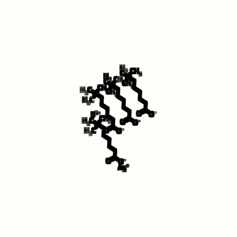 CC(C)(C)CCCCCC(=O)[O-].CC(C)(C)CCCCCC(=O)[O-].CC(C)(C)CCCCCC(=O)[O-].CC(C)(C)CCCCCC(=O)[O-].[Ag+].[B+3]